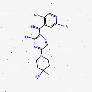 CC1(N)CCN(c2cnc(C(=N)c3cc(N)ncc3C#N)c(N)n2)CC1